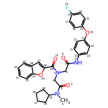 CN(C(=O)CN(CC(=O)Nc1ccc(Oc2ccc(F)cc2)cc1)C(=O)c1cc2ccccc2o1)C1CCCC1